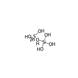 O=S(=O)(O)O.O[Si](O)(O)O.[Zn]